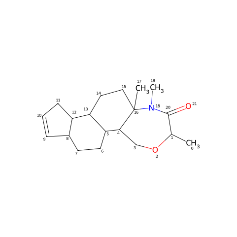 CC1OCC2C3CCC4C=CCC4C3CCC2(C)N(C)C1=O